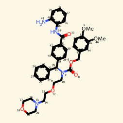 COc1ccc(COC(=O)N(CCOCCN2CCOCC2)[C@@H](c2ccccc2)c2ccc(C(=O)Nc3ccccc3N)cc2)cc1OC